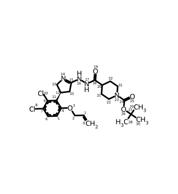 C=CCOc1ccc(Cl)c(Cl)c1[C@H]1CN=C(NNC(=O)C2CCN(C(=O)OC(C)(C)C)CC2)C1